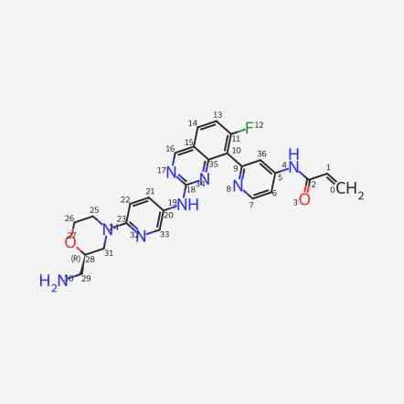 C=CC(=O)Nc1ccnc(-c2c(F)ccc3cnc(Nc4ccc(N5CCO[C@H](CN)C5)nc4)nc23)c1